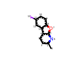 Cc1ccc2c(n1)oc1ccc(I)cc12